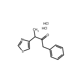 CC(C(=O)Cc1ccccc1)c1cscn1.Cl.Cl